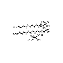 CCCCCCCCC=CCCCCCCCCNCC(O)(O)O.CCCCCCCCC=CCCCCCCCCNCC(O)(O)O.O=C(O)C(O)C(O)C(=O)O